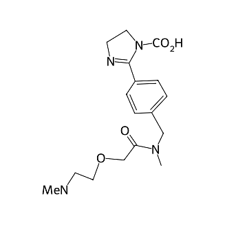 CNCCOCC(=O)N(C)Cc1ccc(C2=NCCN2C(=O)O)cc1